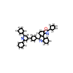 c1ccc(-c2cc(-c3ccc(-c4nc5ccccc5c5c4ccc4oc(-c6ccccc6)nc45)cc3)cc(-c3ccccc3)n2)cc1